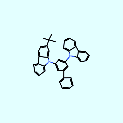 CC(C)(C)c1ccc2c3ccccc3n(-c3cc(-c4ccccc4)cc(-n4c5ccccc5c5ccccc54)c3)c2c1